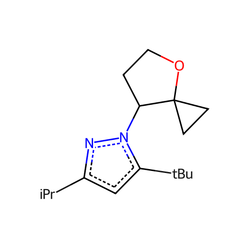 CC(C)c1cc(C(C)(C)C)n(C2CCOC23CC3)n1